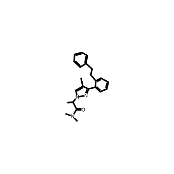 Cc1cn(C(C)C(=O)N(C)C)nc1-c1ccccc1CCc1ccccc1